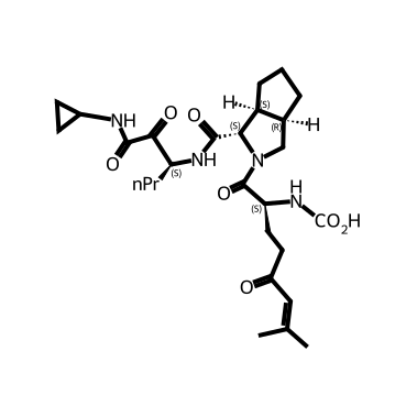 CCC[C@H](NC(=O)[C@@H]1[C@H]2CCC[C@H]2CN1C(=O)[C@H](CCC(=O)C=C(C)C)NC(=O)O)C(=O)C(=O)NC1CC1